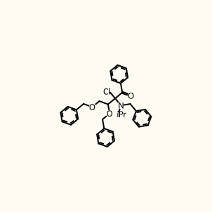 CC(C)N(Cc1ccccc1)C(Cl)(C(=O)c1ccccc1)C(COCc1ccccc1)OCc1ccccc1